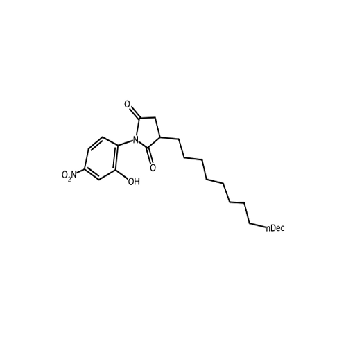 CCCCCCCCCCCCCCCCCCC1CC(=O)N(c2ccc([N+](=O)[O-])cc2O)C1=O